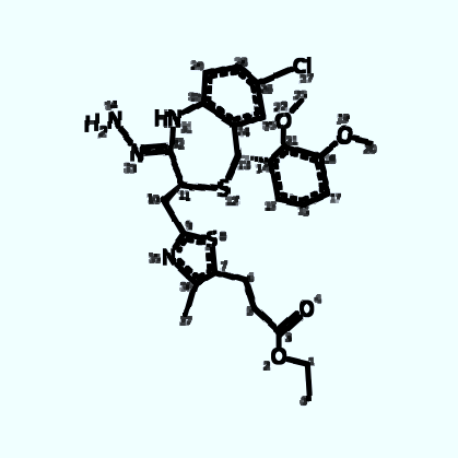 CCOC(=O)CCc1sc(C[C@@H]2S[C@@H](c3cccc(OC)c3OC)c3cc(Cl)ccc3N/C2=N\N)nc1C